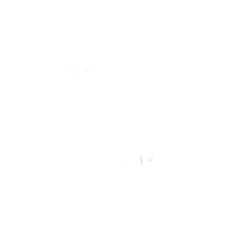 CCCCCCCCC=CCCCCCCCC